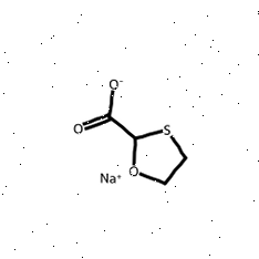 O=C([O-])C1OCCS1.[Na+]